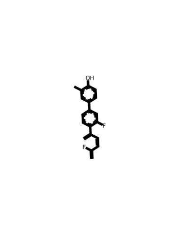 C=C(F)/C=C\C(=C)c1ccc(-c2ccc(O)c(C)c2)cc1F